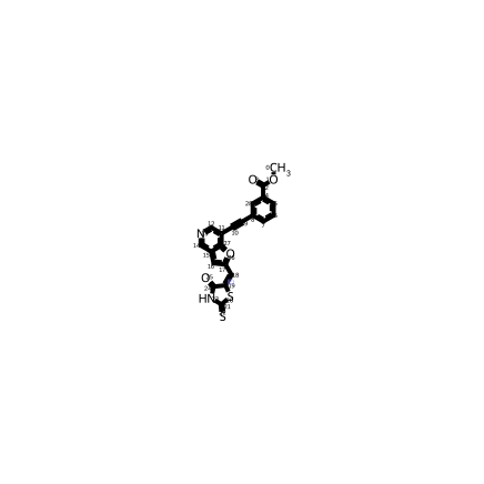 COC(=O)c1cccc(C#Cc2cncc3cc(/C=C4/SC(=S)NC4=O)oc23)c1